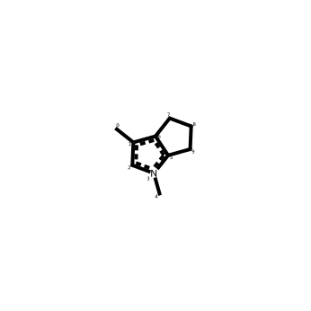 Cc1cn(C)c2c1CCC2